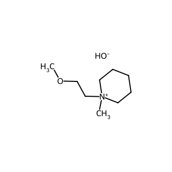 COCC[N+]1(C)CCCCC1.[OH-]